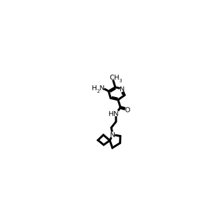 Cc1ncc(C(=O)NCCN2CCCC23CCC3)cc1N